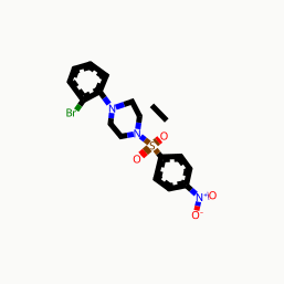 CC.O=[N+]([O-])c1ccc(S(=O)(=O)N2CCN(c3ccccc3Br)CC2)cc1